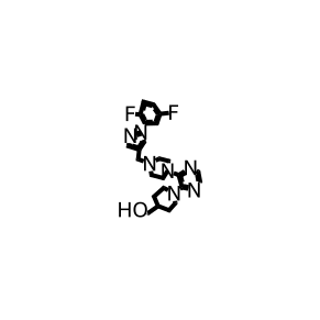 OCC1CCN(c2nccnc2N2CCN(Cc3cnn(-c4cc(F)ccc4F)c3)CC2)CC1